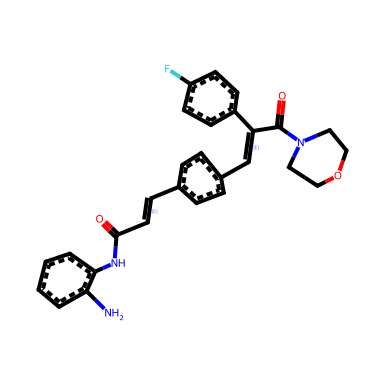 Nc1ccccc1NC(=O)/C=C/c1ccc(/C=C(/C(=O)N2CCOCC2)c2ccc(F)cc2)cc1